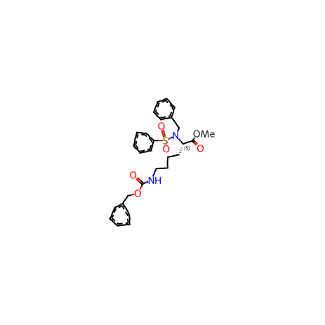 COC(=O)[C@H](CCCCNC(=O)OCc1ccccc1)N(Cc1ccccc1)S(=O)(=O)c1ccccc1